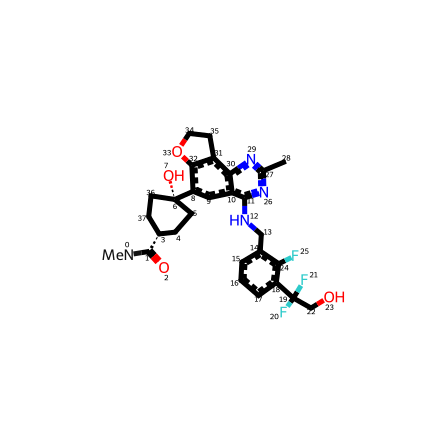 CNC(=O)[C@H]1CC[C@](O)(c2cc3c(NCc4cccc(C(F)(F)CO)c4F)nc(C)nc3c3c2OCC3)CC1